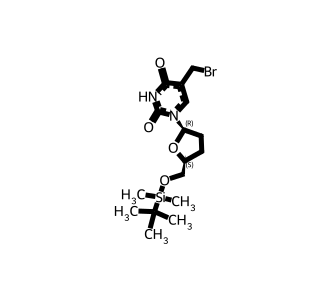 CC(C)(C)[Si](C)(C)OC[C@@H]1CC[C@H](n2cc(CBr)c(=O)[nH]c2=O)O1